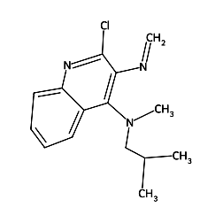 C=Nc1c(Cl)nc2ccccc2c1N(C)CC(C)C